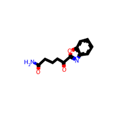 NC(=O)CCCC(=O)c1nc2ccccc2o1